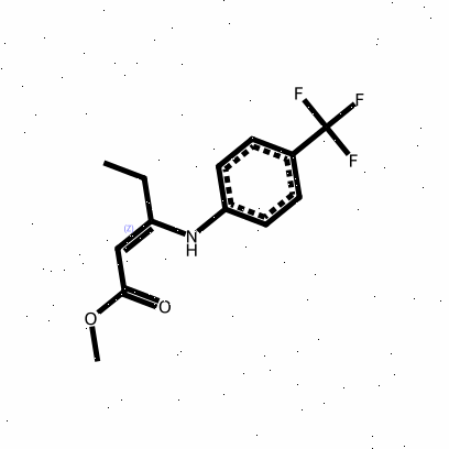 CC/C(=C/C(=O)OC)Nc1ccc(C(F)(F)F)cc1